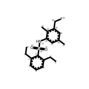 CCc1cccc(CC)c1S(=O)(=O)Nc1cc(C)cc(CF)c1C